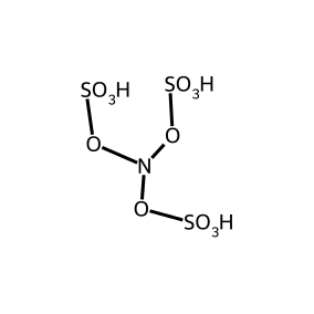 O=S(=O)(O)ON(OS(=O)(=O)O)OS(=O)(=O)O